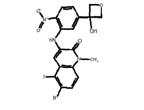 Cn1c(=O)c(Nc2cc(C3(O)COC3)ccc2[N+](=O)[O-])cc2c(F)c(Br)ccc21